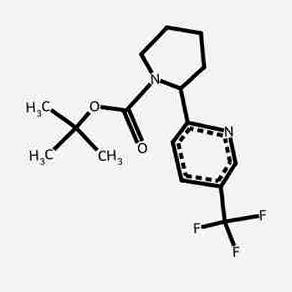 CC(C)(C)OC(=O)N1CCCCC1c1ccc(C(F)(F)F)cn1